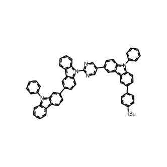 CC(C)(C)c1ccc(-c2ccc3c(c2)c2cc(-c4cnc(-n5c6ccccc6c6cc(-c7ccc8c9ccccc9n(-c9ccccc9)c8c7)ccc65)nc4)ccc2n3-c2ccccc2)cc1